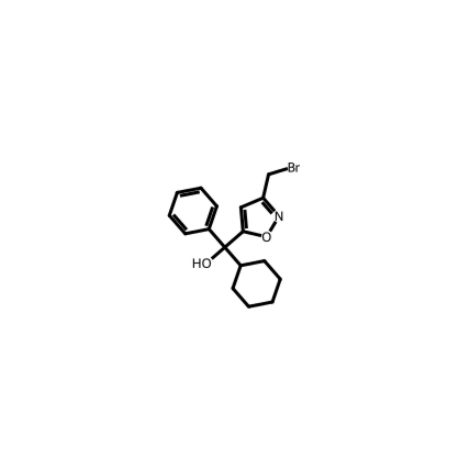 OC(c1ccccc1)(c1cc(CBr)no1)C1CCCCC1